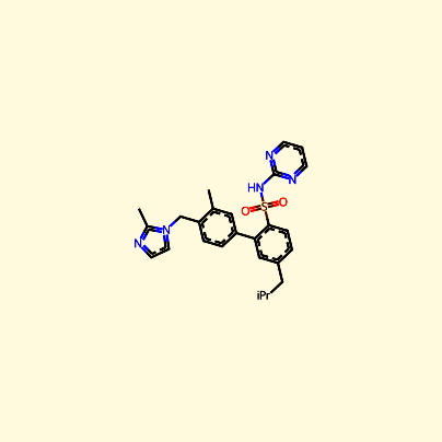 Cc1cc(-c2cc(CC(C)C)ccc2S(=O)(=O)Nc2ncccn2)ccc1Cn1ccnc1C